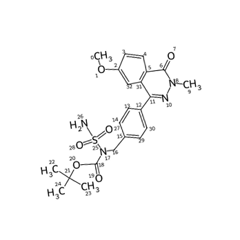 COc1ccc2c(=O)n(C)nc(-c3ccc(CN(C(=O)OC(C)(C)C)S(N)(=O)=O)cc3)c2c1